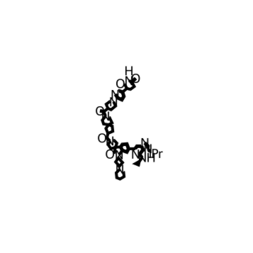 CC(C)n1cnc2cc(-c3ccc4c(c3)N([C@H]3C[C@@H](N5CCCCC5)C3)C(=O)C43CCN(C(=O)C4CCC5(CCN(C(=O)C6CCN(c7ccc(C8CCC(=O)NC8=O)cn7)CC6)CC5)C4)CC3)nc(NC3CC3)c21